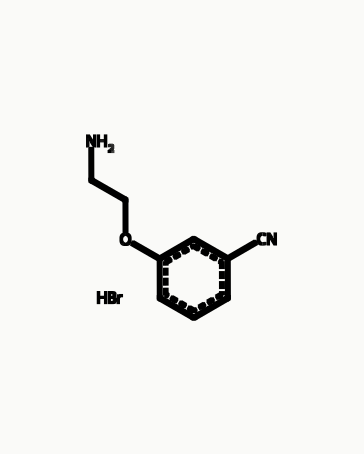 Br.N#Cc1cccc(OCCN)c1